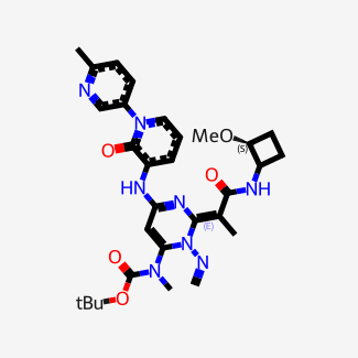 C=NN1C(N(C)C(=O)OC(C)(C)C)=CC(Nc2cccn(-c3ccc(C)nc3)c2=O)=N/C1=C(/C)C(=O)NC1CC[C@@H]1OC